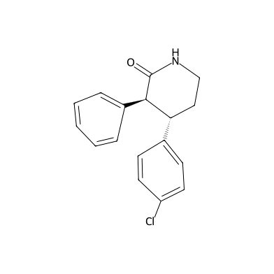 O=C1NCC[C@H](c2ccc(Cl)cc2)[C@H]1c1ccccc1